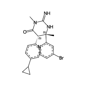 CN1C(=N)N[C@](C)(c2cc(Br)ccn2)[C@H](c2ccc(C3CC3)cc2)C1=O